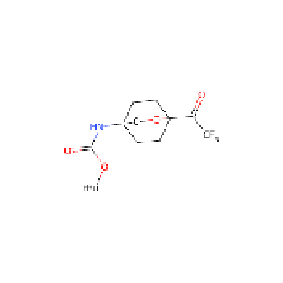 CC(C)(C)OC(=O)NC12CCC(C(=O)C(F)(F)F)(CC1)OC2